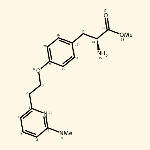 CNc1cccc(CCOc2ccc(C[C@H](N)C(=O)OC)cc2)n1